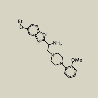 CCOc1ccc2nc(C(N)CN3CCN(c4ccccc4OC)CC3)sc2c1